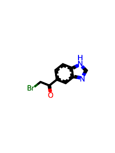 O=C(CBr)c1ccc2[nH]cnc2c1